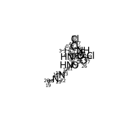 CC(C)(C)C[C@H]1N[C@@H](C(=O)NCCCN2CCN(C3CC3)CC2)[C@H](c2cccc(Cl)c2F)[C@@]12C(=O)Nc1cc(Cl)ccc12